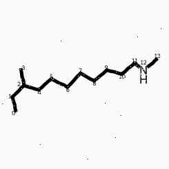 CCC(C)CCCCCCCCNC